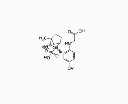 CC12CCC(C1(C)C)C(Br)(S(=O)(=O)O)C2=O.O=C(O)CNc1ccc(O)cc1